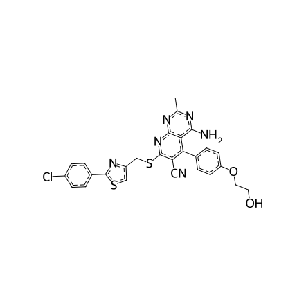 Cc1nc(N)c2c(-c3ccc(OCCO)cc3)c(C#N)c(SCc3csc(-c4ccc(Cl)cc4)n3)nc2n1